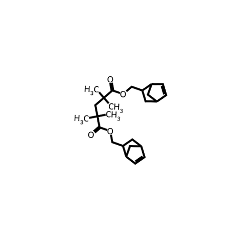 CC(C)(CC(C)(C)C(=O)OCC1CC2C=CC1C2)C(=O)OCC1CC2C=CC1C2